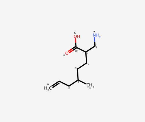 C=CCC(C)CCC(CN)C(=O)O